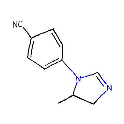 CC1CN=CN1c1ccc(C#N)cc1